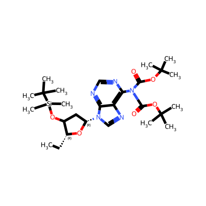 CC[C@H]1O[C@@H](n2cnc3c(N(C(=O)OC(C)(C)C)C(=O)OC(C)(C)C)ncnc32)CC1O[Si](C)(C)C(C)(C)C